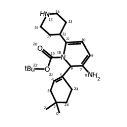 CC1(C)CC=C(C2C(N)=CC=C(C3CCNCC3)N2C(=O)OC(C)(C)C)CC1